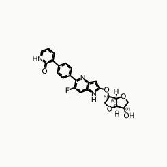 O=c1[nH]cccc1-c1ccc(-c2nc3cc(O[C@@H]4CO[C@H]5[C@@H]4OC[C@H]5O)[nH]c3cc2F)cc1